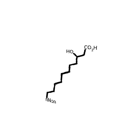 CCCCCCCCCCCCCCCCCC(O)CC(=O)O